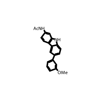 COc1cccc(-c2ccc3[nH]c4cc(NC(C)=O)ccc4c3c2)c1